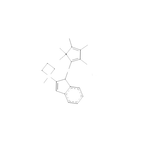 CC1=C(C)C(C)(C)[C]([Zr+2][CH]2C([Si]3(C)CCC3)=Cc3ccccc32)=C1C.[Cl-].[Cl-]